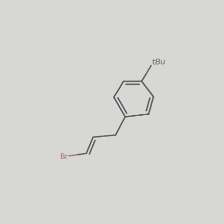 CC(C)(C)c1ccc(CC=CBr)cc1